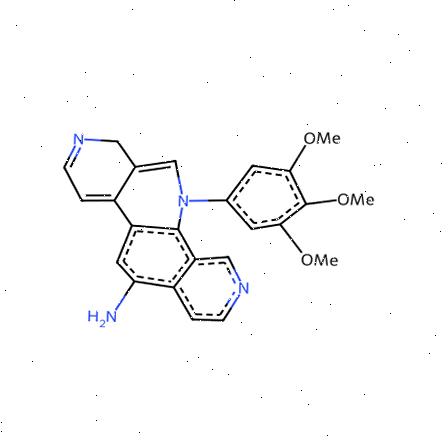 COc1cc(N2C=C3CN=CC=C3c3cc(N)c4ccncc4c32)cc(OC)c1OC